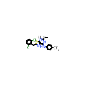 C[SiH2]c1nc(Nc2ccc(C(F)(F)F)cc2)c2nc(Cc3c(Cl)cccc3Cl)sc2n1